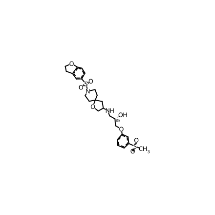 CS(=O)(=O)c1cccc(OC[C@@H](O)CNC2COC3(CCN(S(=O)(=O)c4ccc5c(c4)CCO5)CC3)C2)c1